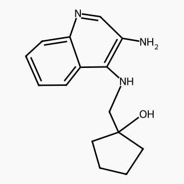 Nc1cnc2ccccc2c1NCC1(O)CCCC1